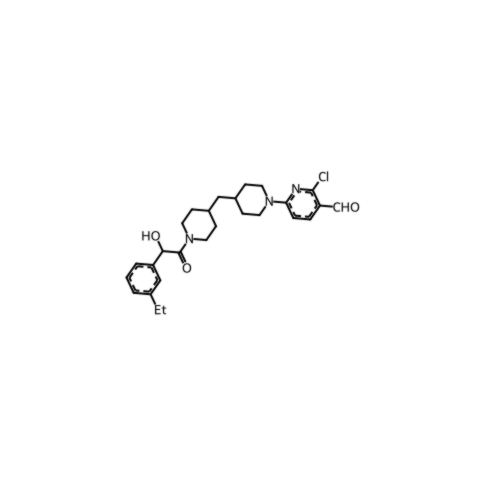 CCc1cccc(C(O)C(=O)N2CCC(CC3CCN(c4ccc(C=O)c(Cl)n4)CC3)CC2)c1